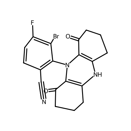 N#Cc1ccc(F)c(Br)c1N1C2=C(CCCC2=O)NC2=C1C(=O)CCC2